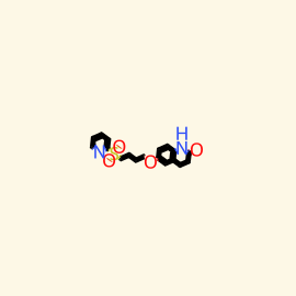 O=C1CCc2cc(OCCCCS(=O)(=O)c3ccccn3)ccc2N1